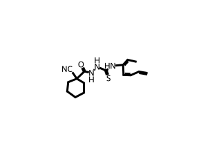 C=C/C=C\C(=C/C)NC(=S)NNC(=O)C1(C#N)CCCCC1